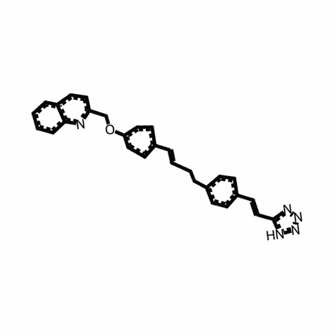 C(=Cc1ccc(OCc2ccc3ccccc3n2)cc1)CCc1ccc(C=Cc2nnn[nH]2)cc1